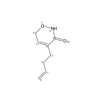 C=CCCC1=CCONC1=O